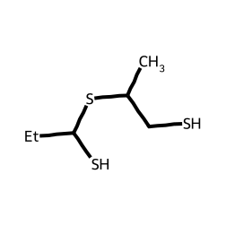 CCC(S)SC(C)CS